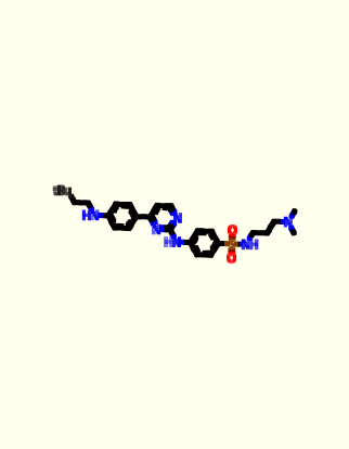 CN(C)CCCNS(=O)(=O)c1ccc(Nc2nccc(-c3ccc(NCCC(C)(C)C)cc3)n2)cc1